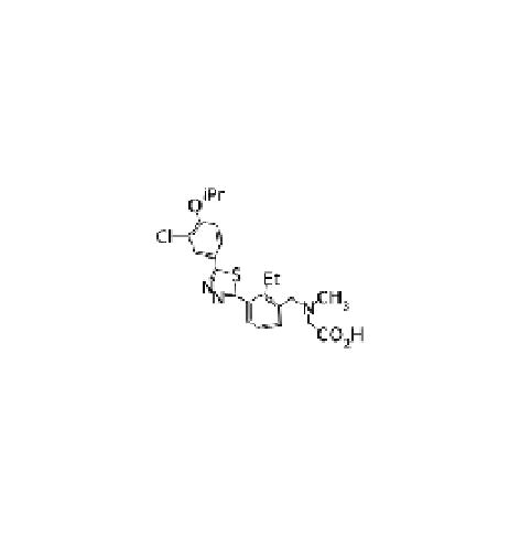 CCc1c(CN(C)CC(=O)O)cccc1-c1nnc(-c2ccc(OC(C)C)c(Cl)c2)s1